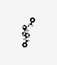 O=C(Nc1ncnc2c1ncn2[C@@H]1O[C@]2(COC(=O)c3ccccc3)CSC1C2O)c1ccccc1